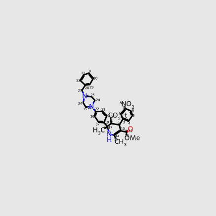 CCOC(=O)C1C(c2cccc([N+](=O)[O-])c2)C(C(=O)OC)=C(C)NC1(C)c1ccc(N2CCN(Cc3ccccc3)CC2)cc1